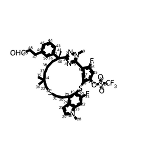 Cn1nc2nc1-c1cc(c(OS(=O)(=O)C(F)(F)F)cc1F)Sc1c(F)cc3c(ccn3C)c1CCSCC(C)(C)CCC[C@]2(C)c1cccc(CCC=O)c1